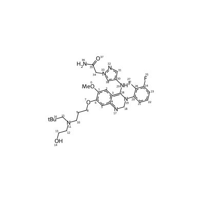 COc1cc2c(cc1OCCCN(CCO)CC(C)(C)C)=NCN(c1cccc(F)c1F)C=2Nc1cnn(CC(N)=O)c1